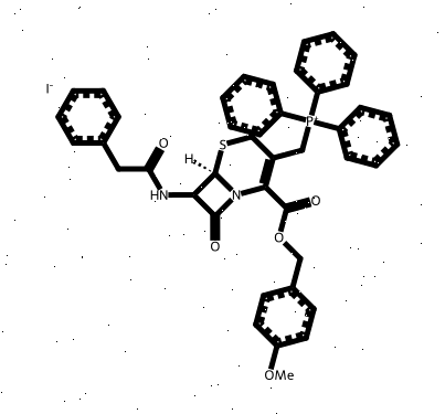 COc1ccc(COC(=O)C2=C(C[P+](c3ccccc3)(c3ccccc3)c3ccccc3)CS[C@@H]3C(NC(=O)Cc4ccccc4)C(=O)N23)cc1.[I-]